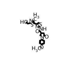 COc1ccc(N2CC(C(=O)Nc3nc(-c4sc(CO)nc4C)cs3)CC2=O)cc1